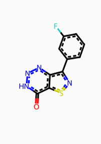 O=c1[nH]nnc2c(-c3cccc(F)c3)nsc12